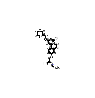 CCCC/C=N/C(=N)COc1ccc2c(c1)CCn1c-2cc(OCC2COCCO2)nc1=O